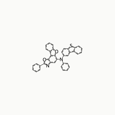 c1ccc(-c2nc3cc(N(c4ccccc4)c4ccc5sc6ccccc6c5c4)c4oc5ccccc5c4c3o2)cc1